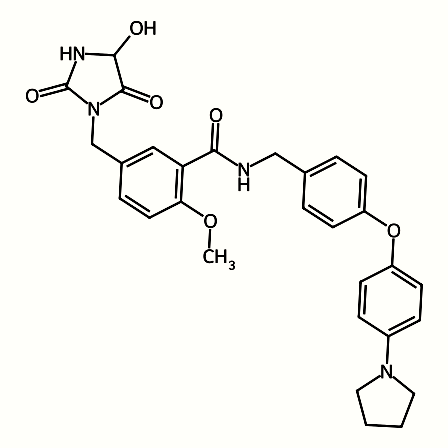 COc1ccc(CN2C(=O)NC(O)C2=O)cc1C(=O)NCc1ccc(Oc2ccc(N3CCCC3)cc2)cc1